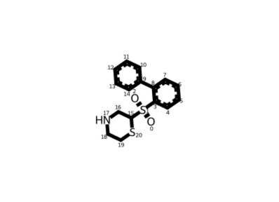 O=S(=O)(c1ccccc1-c1ccccc1)C1CNCCS1